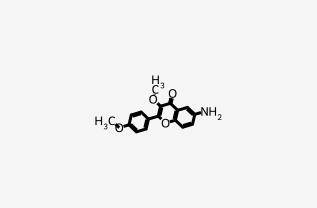 COc1ccc(-c2oc3ccc(N)cc3c(=O)c2OC)cc1